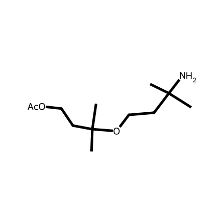 CC(=O)OCCC(C)(C)OCCC(C)(C)N